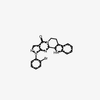 O=c1c2cnn(-c3ccccc3Br)c2nc2n1CCc1c-2[nH]c2ccccc12